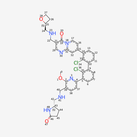 COc1nc(-c2cccc(-c3cccc(-c4ccn5c(=O)c(CNC[C@@H]6CCO6)cnc5c4)c3Cl)c2Cl)ccc1CNC[C@@H]1CCC(=O)N1